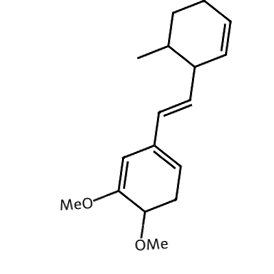 COC1=CC(/C=C/C2C=CCCC2C)=CCC1OC